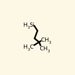 CC(C)(C)CC[SiH3]